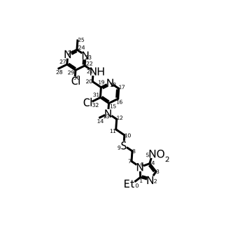 CCc1ncc([N+](=O)[O-])n1CCSCCCN(C)c1ccnc(CNc2nc(C)nc(C)c2Cl)c1Cl